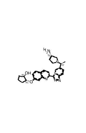 C[C@@H](c1ccc2nnc(-c3ccc4ccc(O[C@@H]5CCC[C@H]5O)cc4n3)n2c1)N1CC[C@H](N)C1